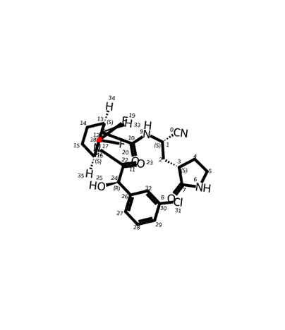 N#C[C@H](C[C@@H]1CCNC1=O)NC(=O)[C@H]1[C@@H]2CC[C@@H](CC2(F)F)N1C(=O)[C@H](O)c1cccc(Cl)c1